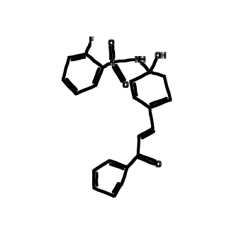 O=C(C=CC1=CCC(O)(NS(=O)(=O)c2ccccc2F)C=C1)c1ccccc1